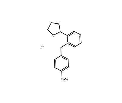 COc1ccc(C[n+]2ccccc2C2OCCO2)cc1.[Cl-]